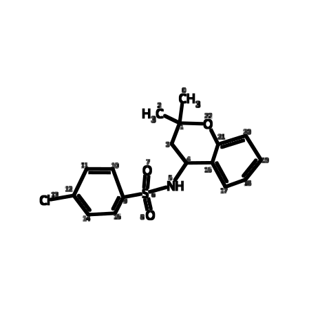 CC1(C)CC(NS(=O)(=O)c2ccc(Cl)cc2)c2ccccc2O1